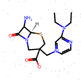 CCN(CC)c1c[n+](CC2(C(=O)[O-])CS[C@@H]3C(N)C(=O)N3C2)ccn1